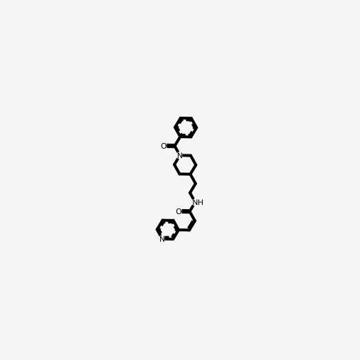 O=C(/C=C\c1cccnc1)NCCC1CCN(C(=O)c2ccccc2)CC1